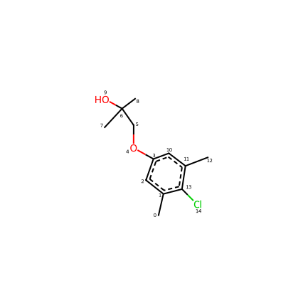 Cc1cc(OCC(C)(C)O)cc(C)c1Cl